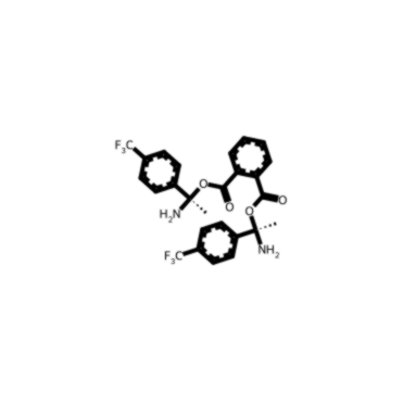 C[C@@](N)(OC(=O)c1ccccc1C(=O)O[C@@](C)(N)c1ccc(C(F)(F)F)cc1)c1ccc(C(F)(F)F)cc1